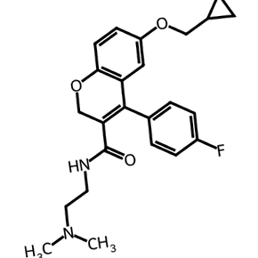 CN(C)CCNC(=O)C1=C(c2ccc(F)cc2)c2cc(OCC3CC3)ccc2OC1